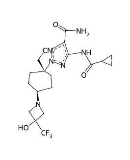 N#CC[C@]1(n2cc(C(N)=O)c(NC(=O)C3CC3)n2)CC[C@H](N2CC(O)(C(F)(F)F)C2)CC1